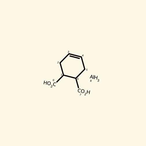 O=C(O)C1CC=CCC1C(=O)O.[AlH3]